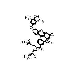 COC(=O)CCN(CCC(=O)OC)C(=O)c1ccc(-c2c3ccc(=O)cc-3oc3cc(Oc4cc(C)c(O)c(C)c4)ccc23)c(C)c1